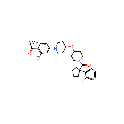 CNC(=O)c1ccc(N2CCC(OC3CCN(C(=O)C4(c5ccccc5F)CCCC4)CC3)CC2)cc1Cl